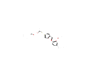 C=CC(=O)OCC(CSc1ccc2cc(-c3ccc(CCCCC)cc3OC(F)(F)F)oc2c1)C(F)(F)F